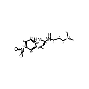 CN(C)CCCNC(=O)Nc1ccc([N+](=O)[O-])cc1